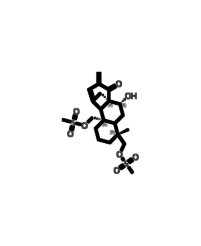 C=C1C=C2C[C@@]3(C1=O)C2[C@]1(COS(C)(=O)=O)CCC[C@@](C)(COS(C)(=O)=O)C1C[C@H]3O